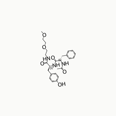 COCCOCCNC(=O)[C@H](Cc1ccc(O)cc1)NC(=O)[C@H](Cc1ccccc1)NC(C)=O